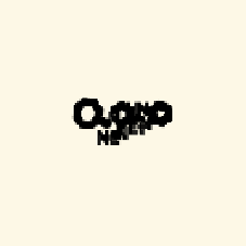 CCC1(C2N=C3C=CC=CC3N2)[CH]CCN(CC2CCCCCCC2)C1=NC#N